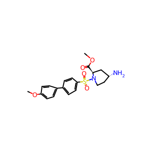 COC(=O)[C@H]1C[C@H](N)CCN1S(=O)(=O)c1ccc(-c2ccc(OC)cc2)cc1